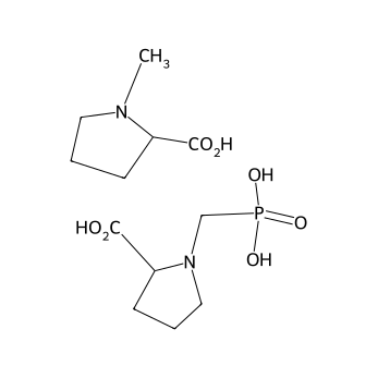 CN1CCCC1C(=O)O.O=C(O)C1CCCN1CP(=O)(O)O